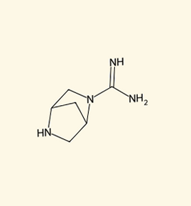 N=C(N)N1CC2CC1CN2